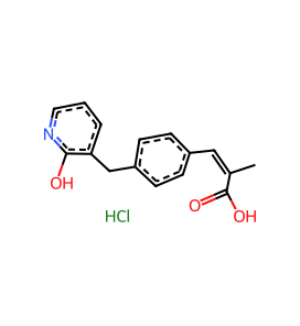 CC(=Cc1ccc(Cc2cccnc2O)cc1)C(=O)O.Cl